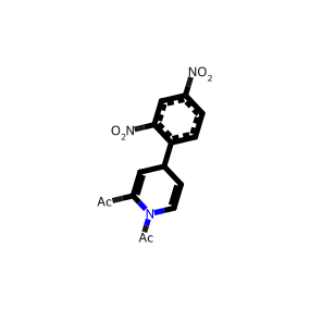 CC(=O)C1=CC(c2ccc([N+](=O)[O-])cc2[N+](=O)[O-])C=CN1C(C)=O